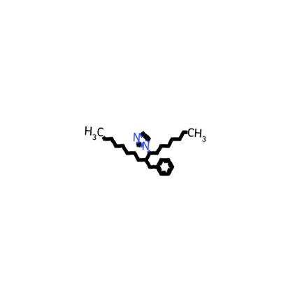 CCCCCCCCC(Cc1ccccc1)C(CCCCCCC)n1ccnc1